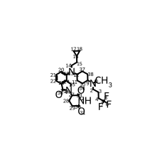 CN(CCCC(F)(F)F)C1CCC(N(CCC2CC2)c2cccc3c2CN(C2CCC(=O)NC2=O)C3=O)CC1